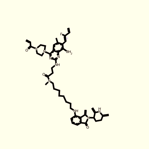 Bc1c(/C=C(\F)C=C)c(C)cc2c(N3CCN(C(=O)C=C)CC3)nc(NCCC(=O)N(C)CCCCCCCCNc3cccc4c3C(=C)N(C3CCC(=C)NC3=C)C4=O)nc12